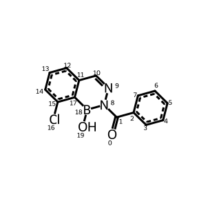 O=C(c1ccccc1)N1N=Cc2cccc(Cl)c2B1O